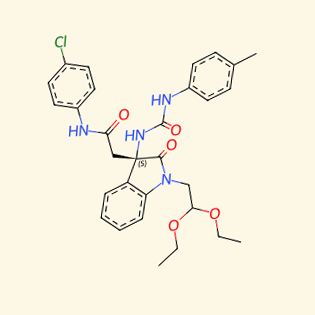 CCOC(CN1C(=O)[C@@](CC(=O)Nc2ccc(Cl)cc2)(NC(=O)Nc2ccc(C)cc2)c2ccccc21)OCC